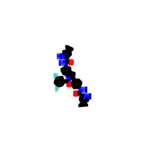 O=C(Nc1ccc2c(c1)OC(c1cc(F)cc(F)c1)n1c-2cc2cc(NC(=O)[C@@H]3CC4(CC4)CN3)ccc21)[C@@H]1CC2(CC2)CN1